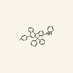 Cc1ccc(-c2cc3c(c4ccccc24)-c2ccc(Nc4ccccc4)cc2C3(c2ccccc2)c2ccccc2)cc1